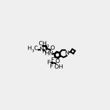 CCn1nc(C(=O)Nc2ccc3c(c2)CCN(C2CCC2)CC3)cc1C.O=C(O)C(F)(F)F